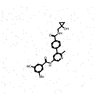 Cc1ncc(NC(=O)c2cc(C#N)cc(C(C)(C)C)c2)cc1-c1ccc(C(=O)NCC2(O)CC2)cc1